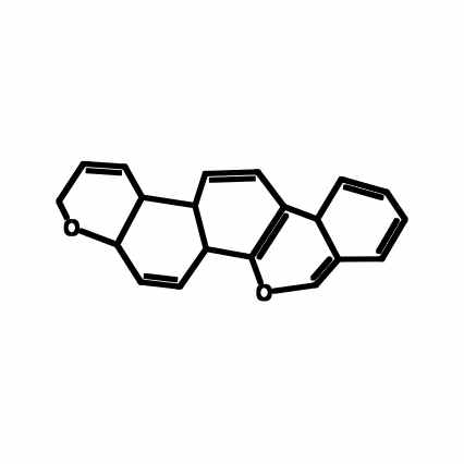 C1=CC2=COC3=C(C=CC4C3C=CC3OCC=CC34)C2C=C1